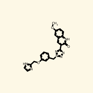 COc1ccc2[nH]c(=O)c(-c3nnn(Cc4cccc(OCc5ncc[nH]5)c4)n3)cc2c1